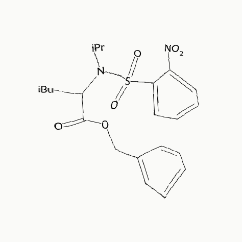 CCC(C)C(C(=O)OCc1ccccc1)N(C(C)C)S(=O)(=O)c1ccccc1[N+](=O)[O-]